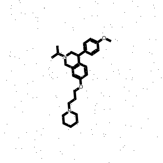 COc1ccc(C2CN(C(C)C)Cc3cc(OCCCN4CCCCC4)ccc32)cc1